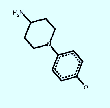 NC1CCN(c2ccc([O])cc2)CC1